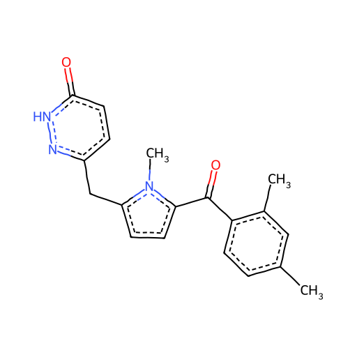 Cc1ccc(C(=O)c2ccc(Cc3ccc(=O)[nH]n3)n2C)c(C)c1